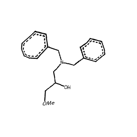 COCC(O)CN(Cc1ccccc1)Cc1ccccc1